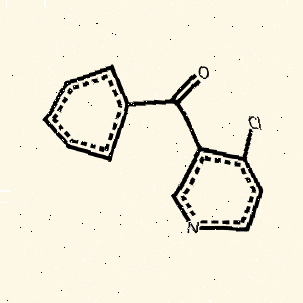 O=C(c1ccccc1)c1cnccc1Cl